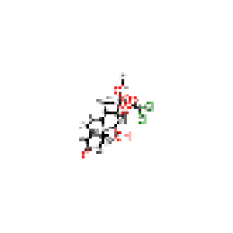 CCOC(=O)[C@@]1(OC(=O)C(Cl)Cl)CCC2C3CCC4=CC(=O)C=CC4(C)C3C(O)CC21C